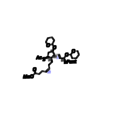 CCCCC[C@@H](/C=C/[C@@H]1[C@@H](CC/C=C\CCC(=O)OC)[C@@H](SC(C)=O)C[C@H]1OC1CCCCO1)OC1CCCCO1